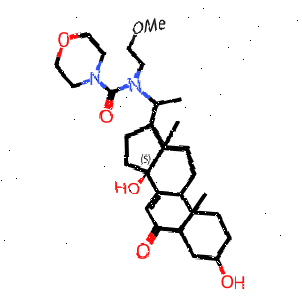 COCCN(C(=O)N1CCOCC1)C(C)C1CC[C@@]2(O)C3=CC(=O)C4CC(O)CCC4(C)C3CCC12C